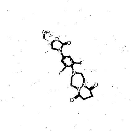 NC[C@H]1CN(c2cc(F)c(N3CCN4C(=O)CCC(=O)N4CC3)c(F)c2)C(=O)O1